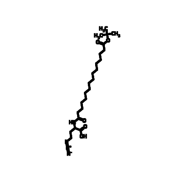 CC(C)(C)OC(=O)CCCCCCCCCCCCCCC(=O)NC(CCN=[N+]=[N-])C(=O)O